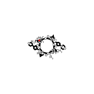 C[C@H]1OC(=O)[C@H](CC2CC2)N(C)C(=O)[C@@H](Cc2ccc(C3CCOCC3)cc2)OC(=O)[C@H](CC(C)(C)F)N(C)C(=O)[C@@H](C)OC(=O)[C@H](CC2CC2)N(C)C(=O)[C@@H](Cc2ccc(N3CCOCC3)cc2)OC(=O)[C@H](CC(C)(C)F)N(C)C1=O